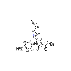 Cc1c(C(=O)CBr)cc(/C=C/CCC#N)n1-c1ccc(C#N)cc1